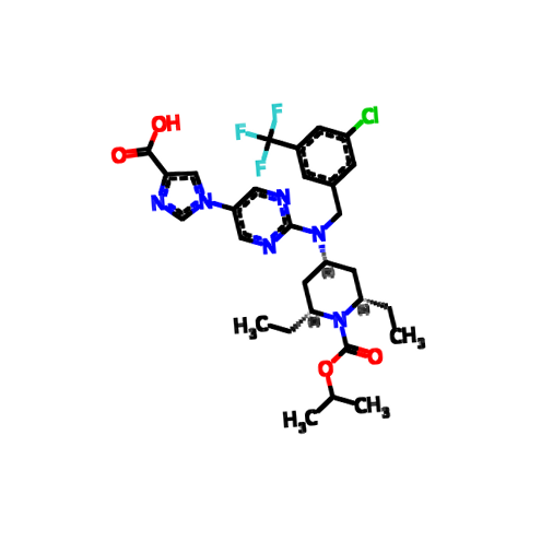 CC[C@@H]1C[C@H](N(Cc2cc(Cl)cc(C(F)(F)F)c2)c2ncc(-n3cnc(C(=O)O)c3)cn2)C[C@H](CC)N1C(=O)OC(C)C